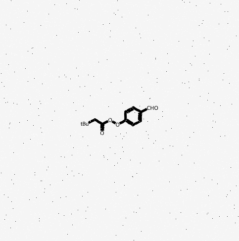 CC(C)(C)CC(=O)OOc1ccc(C=O)cc1